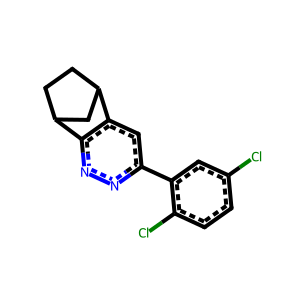 Clc1ccc(Cl)c(-c2cc3c(nn2)C2CCC3C2)c1